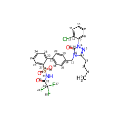 CCCCc1nn(-c2ccccc2Cl)c(=O)n1Cc1ccc(-c2ccccc2S(=O)(=O)NC(=O)C(F)(F)F)cc1